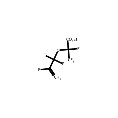 C=C(F)C(F)(F)OC(F)(C(=O)OCC)C(F)(F)F